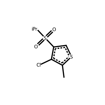 Cc1scc(S(=O)(=O)C(C)C)c1Cl